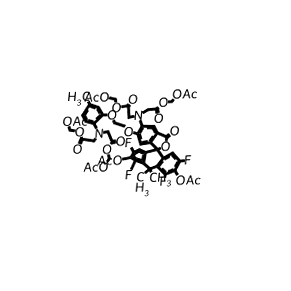 CC(=O)OCOC(=O)CN(CC(=O)OCOC(C)=O)c1ccc(C)cc1OCCOc1cc2c(cc1N(CC(=O)OCOC(C)=O)CC(=O)OCOC(C)=O)C(=O)OC21c2cc(F)c(OC(C)=O)c(F)c2C(C)(C)c2c1cc(F)c(OC(C)=O)c2F